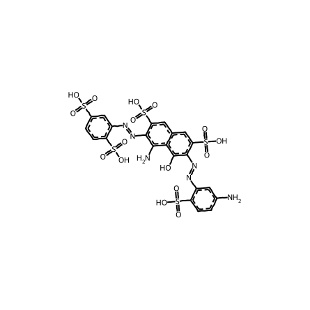 Nc1ccc(S(=O)(=O)O)c(N=Nc2c(S(=O)(=O)O)cc3cc(S(=O)(=O)O)c(N=Nc4cc(S(=O)(=O)O)ccc4S(=O)(=O)O)c(N)c3c2O)c1